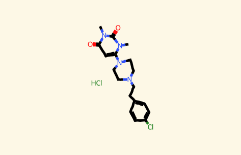 Cl.Cn1c(N2CCN(CCc3ccc(Cl)cc3)CC2)cc(=O)n(C)c1=O